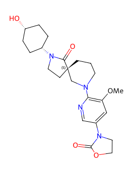 COc1cc(N2CCOC2=O)cnc1N1CCC[C@]2(CCN([C@H]3CC[C@@H](O)CC3)C2=O)C1